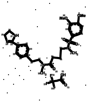 COc1ccc(S(=O)(=O)N(C)CCCC(=O)N(C)CCc2ccc(C3=NCCN3)cc2)cc1OC.O=C(O)C(F)(F)F